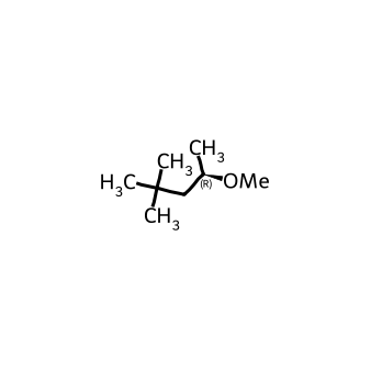 CO[C@H](C)CC(C)(C)C